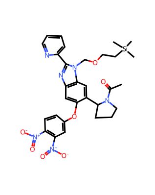 CC(=O)N1CCCC1c1cc2c(cc1Oc1ccc([N+](=O)[O-])c([N+](=O)[O-])c1)nc(-c1ccccn1)n2COCC[Si](C)(C)C